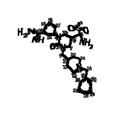 CS(=O)(=O)C(N)C1CN(CC2CCN(Cc3ccccc3)CC2)C(=O)N(c2cccc(C(=N)N)c2)C1